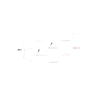 CC1=C2CC[C@@H]3[C@H](CC[C@@]4(C)[C@H]3C=C[C@]4(C)O)[C@@]2(C)CC(=NO)C1=O